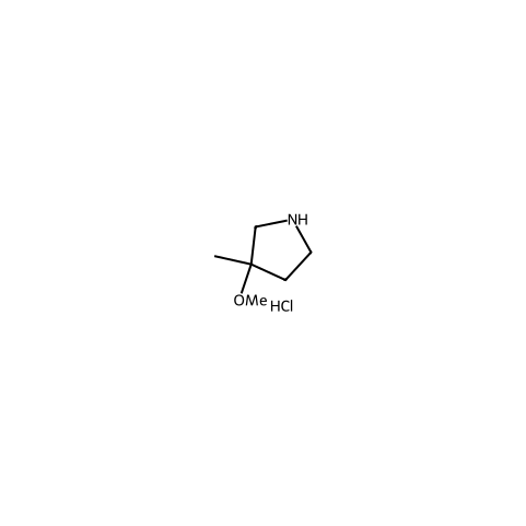 COC1(C)CCNC1.Cl